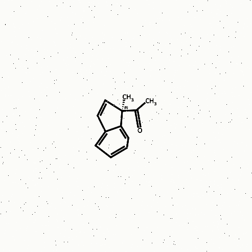 CC(=O)[C@]1(C)C=Cc2ccccc21